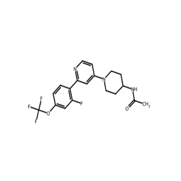 CC(=O)NC1CCN(c2ccnc(-c3ccc(OC(F)(F)F)cc3F)c2)CC1